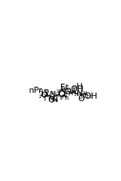 CCCc1ccc(-c2nc(-c3cc(C)c(OC[C@@H](O)CNC(=O)CO)c(CC)c3)no2)s1